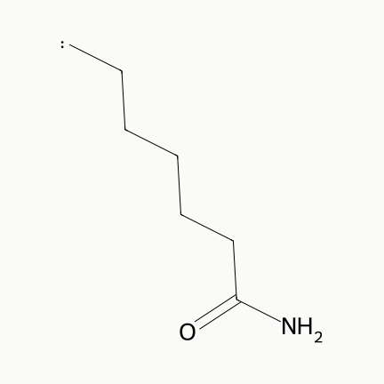 [CH]CCCCCC(N)=O